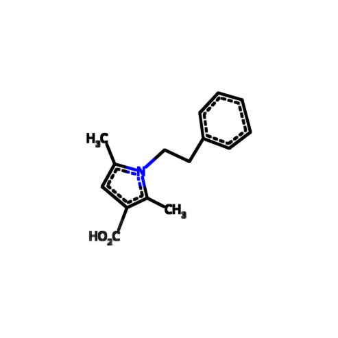 Cc1cc(C(=O)O)c(C)n1CCc1ccccc1